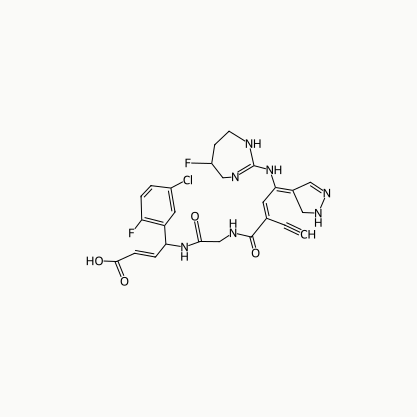 C#C/C(=C\C(NC1=NCC(F)CCN1)=C1\C=NNC1)C(=O)NCC(=O)NC(/C=C/C(=O)O)c1cc(Cl)ccc1F